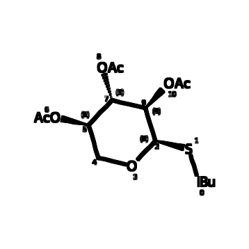 CCC(C)S[C@H]1OC[C@@H](OC(C)=O)[C@H](OC(C)=O)[C@H]1OC(C)=O